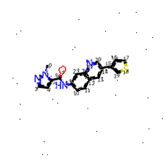 Cn1nccc1C(=O)Nc1ccc2cc(-c3ccsc3)cnc2c1